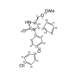 COOC[C@@H]1NC(=O)N(c2ccc(Oc3ccc(Cl)cc3)cc2)[C@H]1c1ccccc1